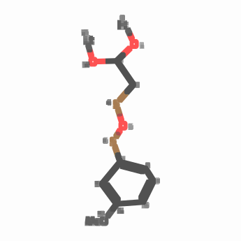 CCOC(CSOSc1cccc(OC)c1)OCC